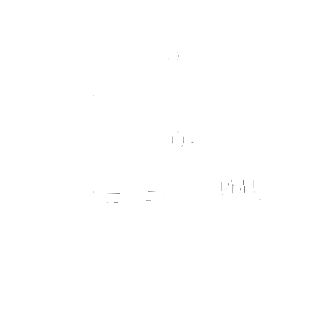 O=C1CCc2ccccc2O1.[PbH2]